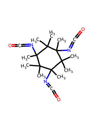 CC1(C)C(C)(N=C=O)C(C)(C)C(C)(N=C=O)C(C)(C)C1(C)N=C=O